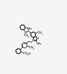 CCCc1nc2c(C)cc(C3Nc4ccccc4N3C)cc2n1CCC1=CC=C(c2ccccc2C(=O)O)CC1C